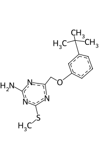 CSc1nc(N)nc(COc2cccc(C(C)(C)C)c2)n1